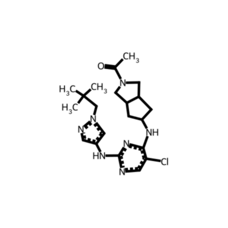 CC(=O)N1CC2CC(Nc3nc(Nc4cnn(CC(C)(C)C)c4)ncc3Cl)CC2C1